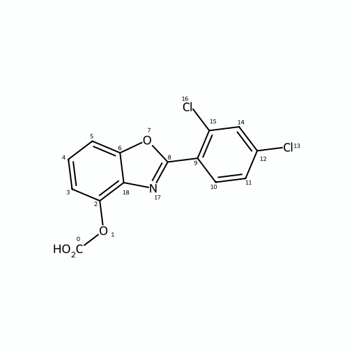 O=C(O)Oc1cccc2oc(-c3ccc(Cl)cc3Cl)nc12